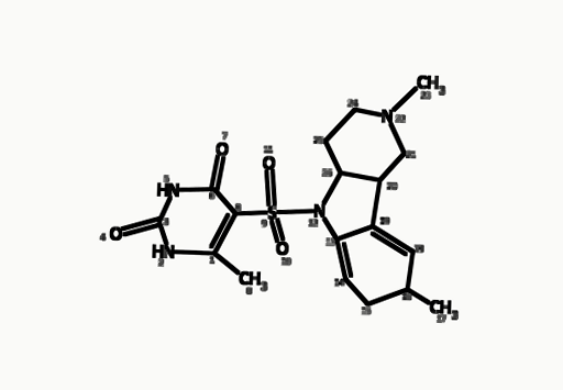 Cc1[nH]c(=O)[nH]c(=O)c1S(=O)(=O)N1C2=CCC(C)C=C2C2CN(C)CCC21